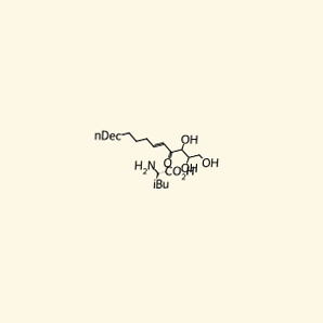 CCCCCCCCCCCCCC=CC(=O)C(O)C(O)CO.CC[C@H](C)[C@H](N)C(=O)O